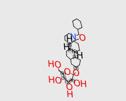 CC12CC[C@H]3[C@@H](CCC4C[C@@H](OC5O[C@H](CO)[C@@H](O)[C@H](O)[C@H]5O)CC[C@@]43C)[C@@H]1CCCN2C(=O)C1CCCCC1